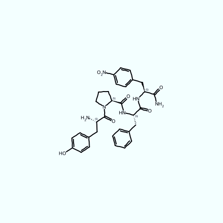 NC(=O)[C@H](Cc1ccc([N+](=O)[O-])cc1)NC(=O)[C@H](Cc1ccccc1)NC(=O)[C@@H]1CCCN1C(=O)[C@@H](N)Cc1ccc(O)cc1